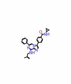 C=C(C)CNc1nc(-c2ccccc2)cn2c(-c3ccc(C(=O)NC4CC4)cc3)cnc12